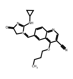 CCCCOc1c(C#N)cnc2ccc(/C=S3/CC(=O)N=C3NC3CC3)cc12